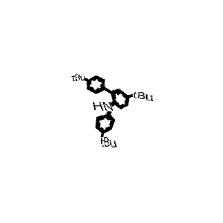 CC(C)(C)c1ccc(Nc2ccc(C(C)(C)C)cc2-c2ccc(C(C)(C)C)cc2)cc1